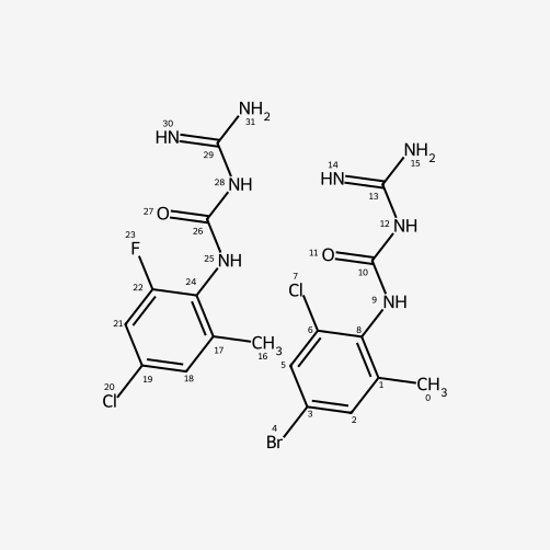 Cc1cc(Br)cc(Cl)c1NC(=O)NC(=N)N.Cc1cc(Cl)cc(F)c1NC(=O)NC(=N)N